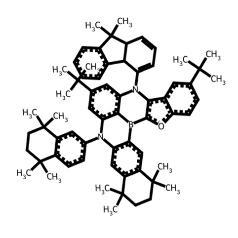 CC(C)(C)c1cc2c3c(c1)N(c1ccc4c(c1)C(C)(C)CCC4(C)C)c1cc4c(cc1B3c1oc3ccc(C(C)(C)C)cc3c1N2C1=CC=CC2C1c1ccccc1C2(C)C)C(C)(C)CCC4(C)C